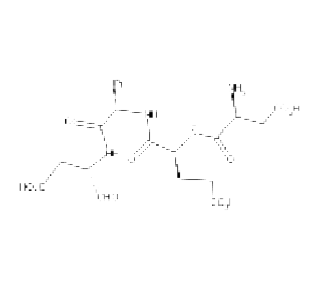 CC(C)[C@H](NC(=O)[C@H](CCC(=O)O)NC(=O)[C@@H](N)CC(=O)O)C(=O)N[C@H](C=O)CC(=O)O